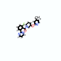 Cc1ccnc(O[C@@H]2CCCN(C(=O)c3c(F)cccc3-c3ncccn3)C2)c1